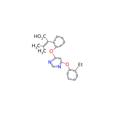 CCc1ccccc1Oc1cc(Oc2ccccc2C(C(=O)O)=C(C)C)ncn1